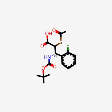 CC(=O)SC(C(=O)O)[C@@H](NC(=O)OC(C)(C)C)c1ccccc1F